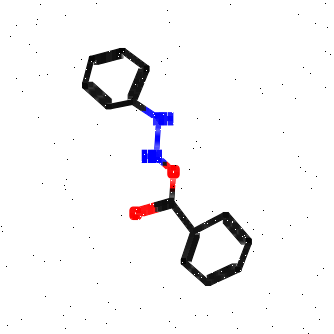 O=C(ONNc1ccccc1)c1ccccc1